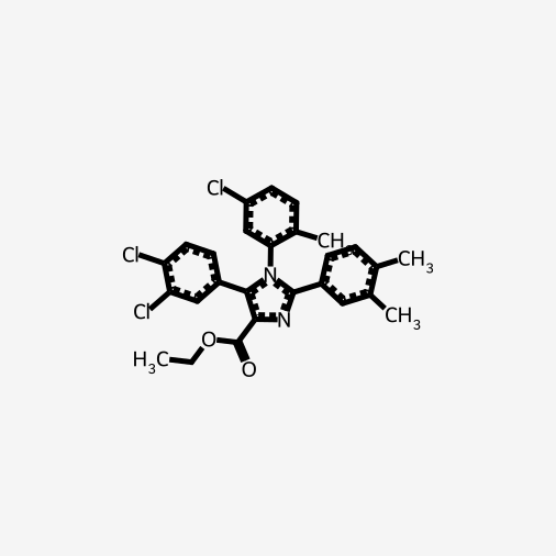 CCOC(=O)c1nc(-c2ccc(C)c(C)c2)n(-c2cc(Cl)ccc2C)c1-c1ccc(Cl)c(Cl)c1